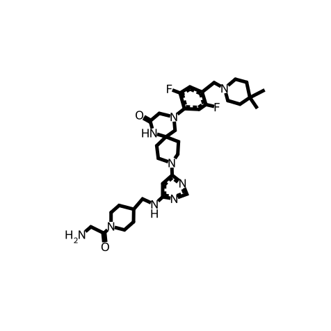 CC1(C)CCN(Cc2cc(F)c(N3CC(=O)NC4(CCN(c5cc(NCC6CCN(C(=O)CN)CC6)ncn5)CC4)C3)cc2F)CC1